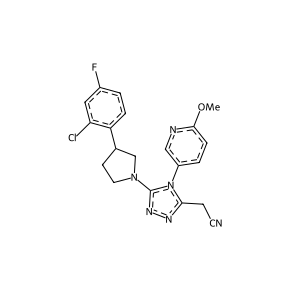 COc1ccc(-n2c(CC#N)nnc2N2CCC(c3ccc(F)cc3Cl)C2)cn1